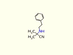 CC(C)(C#N)NCCc1ccccc1